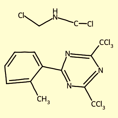 Cc1ccccc1-c1nc(C(Cl)(Cl)Cl)nc(C(Cl)(Cl)Cl)n1.ClCNCCl